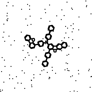 c1ccc(-c2ccc(-c3cc(N(c4ccc(-c5ccccc5)cc4)c4ccc(-c5cccc6c5oc5ccccc56)cc4)cc4c3oc3cc5ccccc5cc34)cc2)cc1